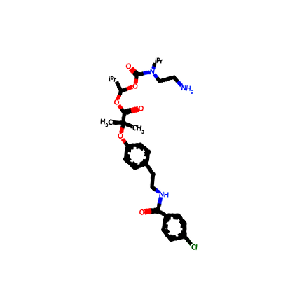 CC(C)C(OC(=O)N(CCN)C(C)C)OC(=O)C(C)(C)Oc1ccc(CCNC(=O)c2ccc(Cl)cc2)cc1